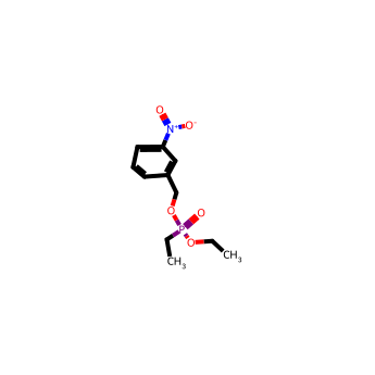 CCOP(=O)(CC)OCc1cccc([N+](=O)[O-])c1